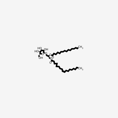 CCCCCCCC/C=C\CCCCCCCC(=O)OC[C@@H](CO[C@H]1O[C@H](CO)[C@H](O)[C@H](O)[C@H]1O)OC(=O)CCCCCCCCCCCCCCC